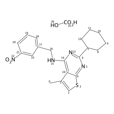 Cc1csc2nc(C3CCCCC3)nc(NCc3cccc([N+](=O)[O-])c3)c12.O=C(O)O